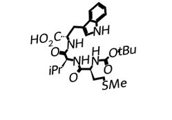 CSCC[C@H](NC(=O)OC(C)(C)C)C(=O)N[C@H](C(=O)N[C@@H](Cc1c[nH]c2ccccc12)C(=O)O)C(C)C